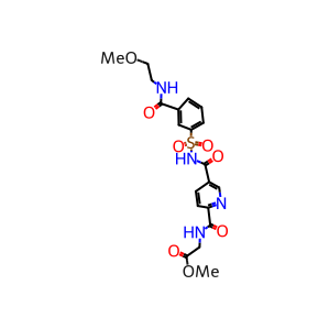 COCCNC(=O)c1cccc(S(=O)(=O)NC(=O)c2ccc(C(=O)NCC(=O)OC)nc2)c1